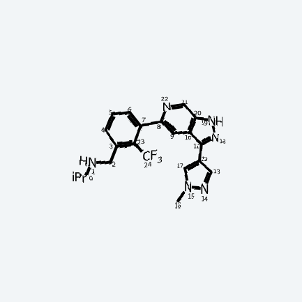 CC(C)NCc1cccc(-c2cc3c(-c4cnn(C)c4)n[nH]c3cn2)c1C(F)(F)F